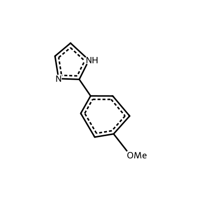 COc1ccc(-c2ncc[nH]2)cc1